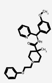 COc1cccc([C@@H](NC(=O)C2(C)CCN(CCOc3ccccc3)CC2)c2ccccn2)c1